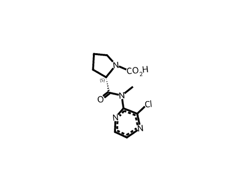 CN(C(=O)[C@@H]1CCCN1C(=O)O)c1nccnc1Cl